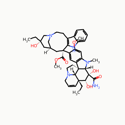 CC[C@]1(O)C[C@H]2CN(CCc3c([nH]c4ccccc34)[C@@](C(=O)OC)(c3cc4c(cc3OC)N(C)[C@@H]3[C@@](O)(C(N)=O)[C@H](O)[C@]5(CC)C=CCN6CC[C@]43[C@@H]65)C2)C1